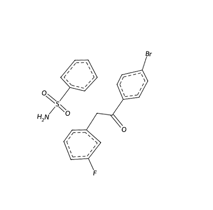 NS(=O)(=O)c1ccccc1.O=C(Cc1cccc(F)c1)c1ccc(Br)cc1